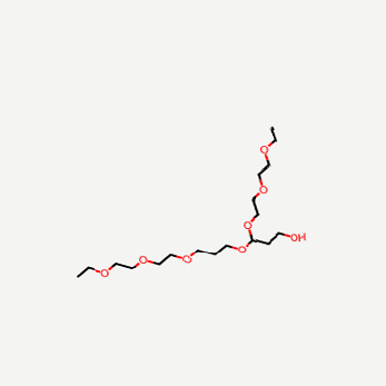 CCOCCOCCOCCCOC(CCO)OCCOCCOCC